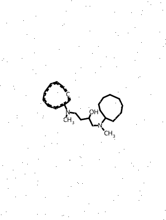 CN(CCC(O)CN(C)C1CCCCCCCC1)c1ccccccccc1